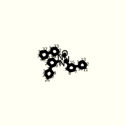 O=c1nc(-c2cccc(-c3ccccc3)c2)nc(-c2cccc(-c3ccccc3)c2)n1-c1cccc(-c2ccccc2)c1